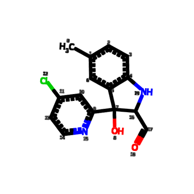 Cc1ccc2c(c1)C(O)(c1cc(Cl)ccn1)C(C=O)N2